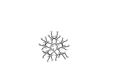 CCC(C)[Si]1(C(C)CC)[Si](C(C)CC)(C(C)CC)[Si](C(C)CC)(C(C)CC)[Si](C(C)CC)(C(C)CC)[Si]1(C(C)CC)C(C)CC